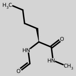 CCCC[C@H](NC=O)C(=O)NC